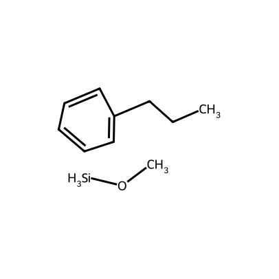 CCCc1ccccc1.CO[SiH3]